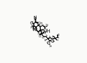 CCC(C)(C)CC[C@@](C)(CCC(C)(C)[C@]1(C)CC[C@H]2C(C)(C)C(=O)C(C#N)=C[C@]2(C)[C@H]1C[C@@H](C)O)C(=O)OC